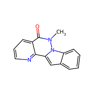 Cn1c(=O)c2cccnc2c2cc3ccccc3n21